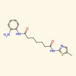 Cc1cnc(NC(=O)CCCCCC(=O)Nc2ccccc2N)s1